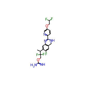 CC(c1cc2c(cc1F)CNC(c1ccc(OCC(F)F)cn1)=N2)C(F)(F)COC(=N)N